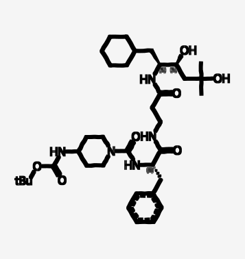 CC(C)(O)C[C@H](O)[C@H](CC1CCCCC1)NC(=O)CCNC(=O)[C@H](Cc1ccccc1)NC(=O)N1CCC(NC(=O)OC(C)(C)C)CC1